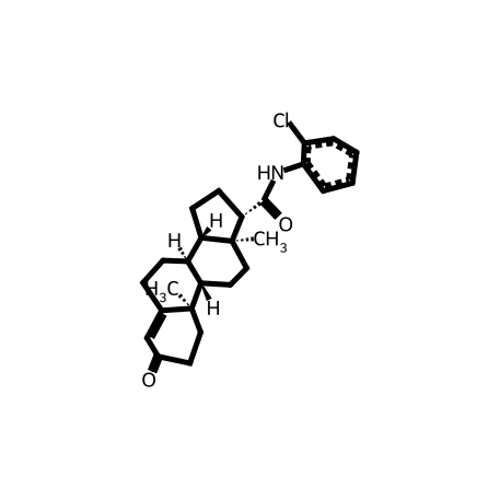 C[C@]12CC[C@H]3[C@@H](CCC4=CC(=O)CC[C@@]43C)[C@@H]1CC[C@@H]2C(=O)Nc1ccccc1Cl